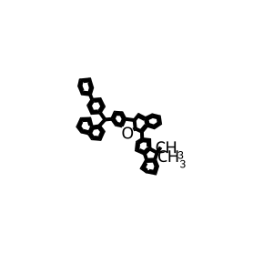 CC1(C)c2ccccc2-c2ccc(C3=c4ccccc4=CC4c5ccc(C(c6ccc(-c7ccccc7)cc6)c6cccc7ccccc67)cc5OC34)cc21